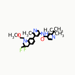 COCCN1C[C@](F)(CF)Cc2ccc(-c3cc(NC(=O)c4ccnc(C(C)(C)C)c4)cnc3C)cc21